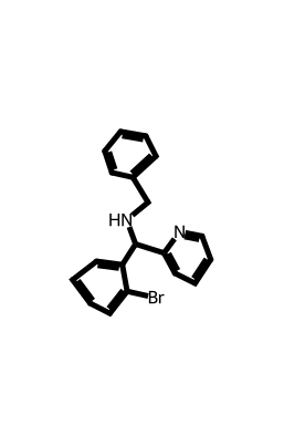 Brc1ccccc1C(NCc1ccccc1)c1ccccn1